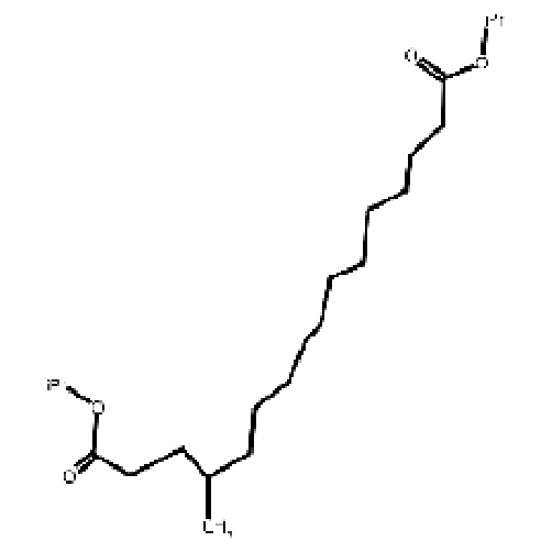 CC(CCCCCCCCCCCC(=O)OC(C)C)CCC(=O)OC(C)C